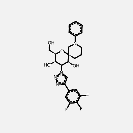 OC[C@H]1O[C@@]2(CCCN(c3ccccc3)C2)[C@@H](O)[C@@H](n2cc(-c3cc(F)c(F)c(F)c3)nn2)[C@H]1O